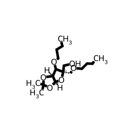 CCCCOC[C@]1(CO)O[C@H]2OC(C)(C)O[C@H]2C1OCCCC